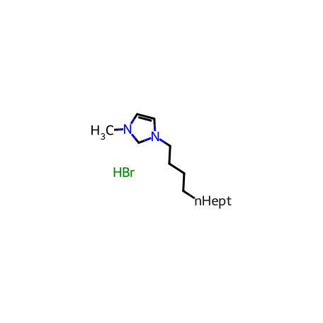 Br.CCCCCCCCCCCN1C=CN(C)C1